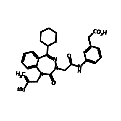 C=C(CN1C(=O)N(CC(=O)Nc2cccc(CC(=O)O)c2)N=C(C2CCCCC2)c2ccccc21)C(C)(C)C